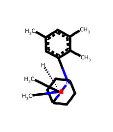 Cc1cc(C)c(C)c(N2C3CCC(CC3)N(C)[C@@H]2C)c1